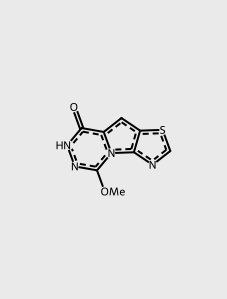 COc1n[nH]c(=O)c2cc3scnc3n12